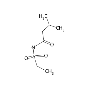 CCS(=O)(=O)[N]C(=O)CC(C)C